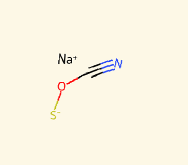 N#CO[S-].[Na+]